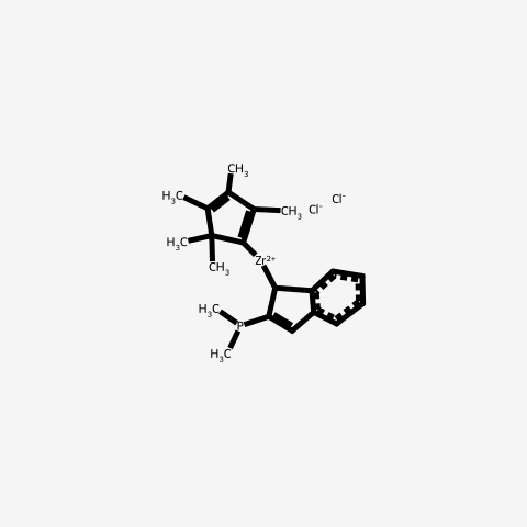 CC1=C(C)C(C)(C)[C]([Zr+2][CH]2C(P(C)C)=Cc3ccccc32)=C1C.[Cl-].[Cl-]